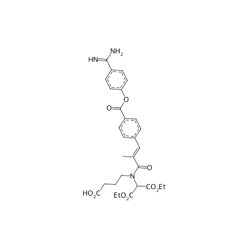 CCOC(=O)C(C(=O)OCC)N(CCCC(=O)O)C(=O)/C(C)=C/c1ccc(C(=O)Oc2ccc(C(=N)N)cc2)cc1